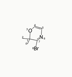 CC1(C)OC=CN=C1Br